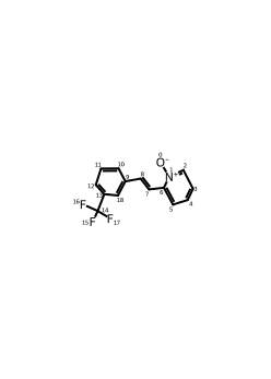 [O-][n+]1ccccc1C=Cc1cccc(C(F)(F)F)c1